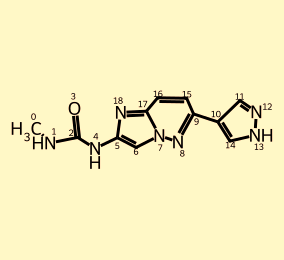 CNC(=O)Nc1cn2nc(-c3cn[nH]c3)ccc2n1